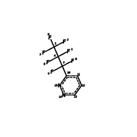 FC(F)(F)C(F)(F)C(F)(F)c1[c]ccnn1